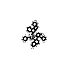 c1ccc(-c2nc(-c3c(-c4cccc5oc6ccccc6c45)ccc4ccccc34)nc(-c3cc4ccc5ccccc5c4c4ccccc34)n2)cc1